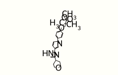 COC(=O)C(C)(C)COc1ccc(-c2ccc(-c3nc(C4CCOCC4)c[nH]3)cn2)cc1